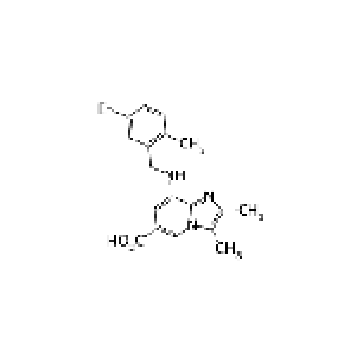 CCc1ccc(C)c(CNc2cc(C(=O)O)cn3c(C)c(C)nc23)c1